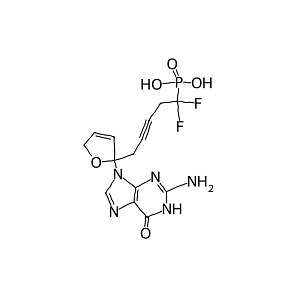 Nc1nc2c(ncn2C2(CC#CCC(F)(F)P(=O)(O)O)C=CCO2)c(=O)[nH]1